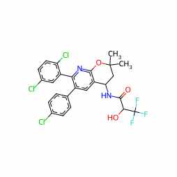 CC1(C)CC(NC(=O)C(O)C(F)(F)F)c2cc(-c3ccc(Cl)cc3)c(-c3cc(Cl)ccc3Cl)nc2O1